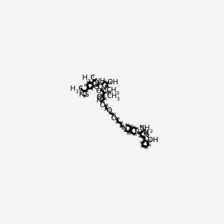 Cc1ncsc1-c1ccc([C@H](C)NC(=O)[C@@H]2C[C@@H](O)CN2C(=O)[C@@H](c2cc(OCCOCCOCCCCN3CCC4(CC3)CCN(c3cc(-c5ccccc5O)nnc3N)CC4)no2)C(C)C)cc1